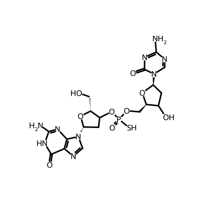 Nc1ncn([C@H]2CC(O)[C@@H](COP(=O)(S)OC3C[C@H](n4cnc5c(=O)[nH]c(N)nc54)O[C@@H]3CO)O2)c(=O)n1